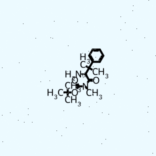 CN(C(=O)OC(C)(C)C)C(=O)[C@@H](N)C(C)(C)c1ccccc1